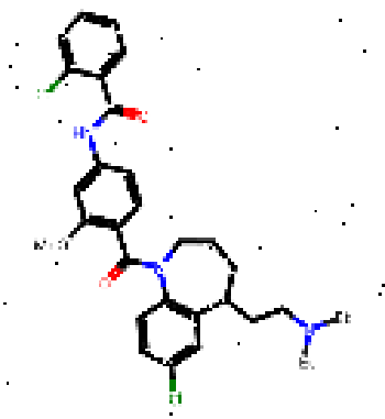 CCN(CC)CCC1CCCN(C(=O)c2ccc(NC(=O)c3ccccc3Cl)cc2OC)c2ccc(Cl)cc21